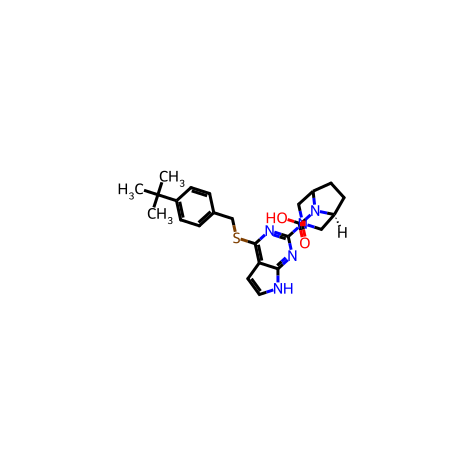 CC(C)(C)c1ccc(CSc2nc(N3CC4CC[C@@H](C3)N4C(=O)O)nc3[nH]ccc23)cc1